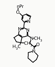 CCCOc1ccnc(-c2nc3c(c(N(C)CC(=O)N4CCCCC4)n2)C(C)(C)CC3)c1